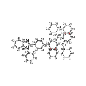 C1=CCC(c2ccccc2)C(c2c3ccccc3c(C3=CC=CCC3c3ccccc3)c3cc(-c4ccc(-c5nc6ccccc6n5-c5ccccc5)cc4)ccc23)=C1